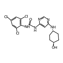 O=C(Nc1cc(N[C@H]2CC[C@H](O)CC2)ncn1)Nc1c(Cl)cc(Cl)cc1Cl